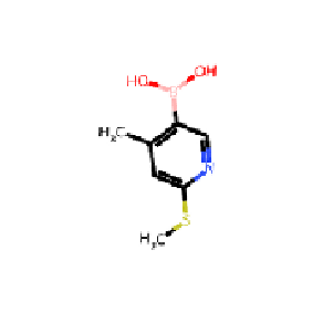 CSc1cc(C)c(B(O)O)cn1